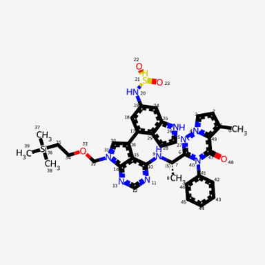 Cc1ccn2nc([C@H](C)Nc3ncnc4c3c(-c3cc(N[SH](=O)=O)cc5[nH]ccc35)cn4COCC[Si](C)(C)C)n(-c3ccccc3)c(=O)c12